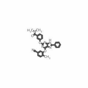 Cc1ccc(C#N)cc1Oc1nc(Oc2cccc(C(=O)N(C)C)c2)nc2[nH]c(-c3ccccc3)nc12